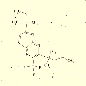 CCCC(C)(C)c1nc2cc(C(C)(C)CC)ccc2nc1C(F)(F)F